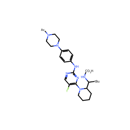 CC(=O)N1CCN(c2ccc(Nc3ncc(F)c(N4CCCCC4C(NC(=O)O)C(C)(C)C)n3)cc2)CC1